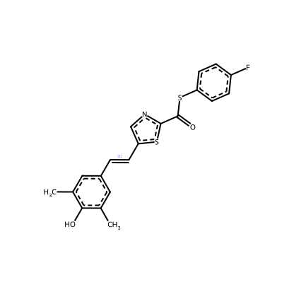 Cc1cc(/C=C/c2cnc(C(=O)Sc3ccc(F)cc3)s2)cc(C)c1O